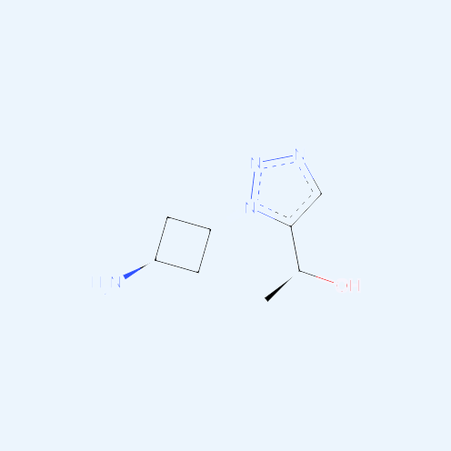 C[C@H](O)c1cnnn1[C@H]1C[C@H](N)C1